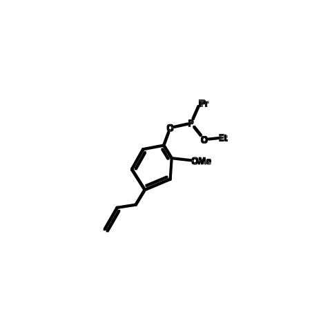 C=CCc1ccc(OP(OCC)C(C)C)c(OC)c1